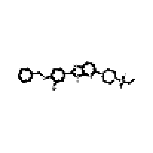 CCS(=O)(=O)N1CCN(c2ccc3nc(-c4ccc(OCc5ccccc5)c(Br)c4)[nH]c3n2)CC1